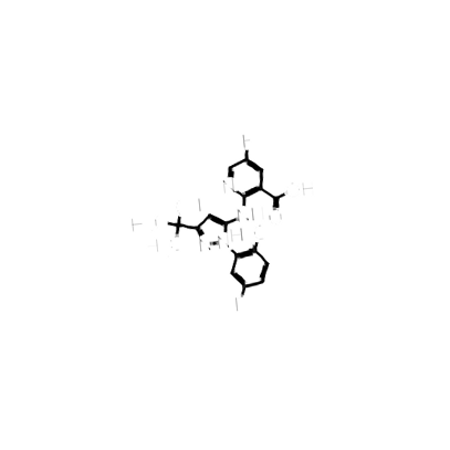 Cc1ccc(F)cc1-n1nc(C(C)(C)C)cc1Nc1ncc(F)cc1C(=O)O